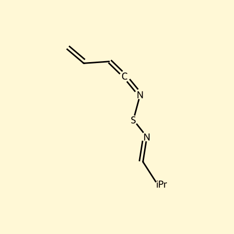 C=CC=C=NS/N=C/C(C)C